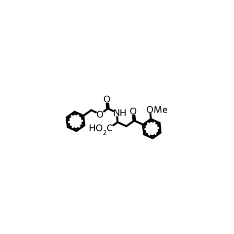 COc1ccccc1C(=O)CC(NC(=O)OCc1ccccc1)C(=O)O